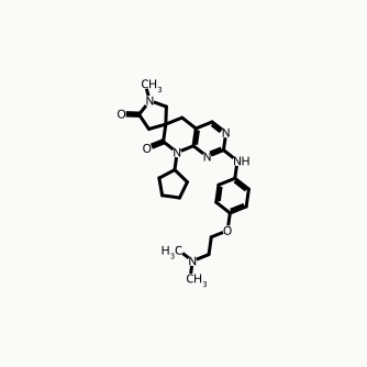 CN(C)CCOc1ccc(Nc2ncc3c(n2)N(C2CCCC2)C(=O)C2(CC(=O)N(C)C2)C3)cc1